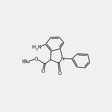 CC(C)(C)OC(=O)C1C(=O)N(c2ccccc2)c2cccc(N)c21